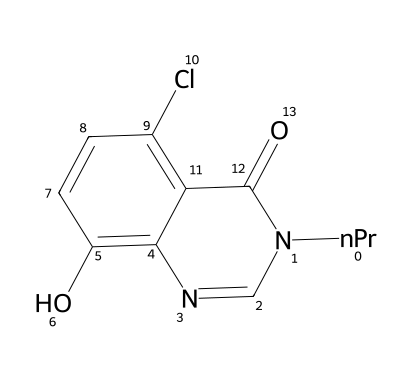 CCCn1cnc2c(O)ccc(Cl)c2c1=O